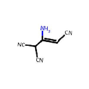 N#C/C=C(\N)C(C#N)C#N